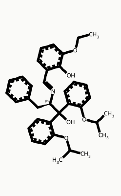 CCOc1cccc(C=N[C@H](Cc2ccccc2)C(O)(c2ccccc2OC(C)C)c2ccccc2OC(C)C)c1O